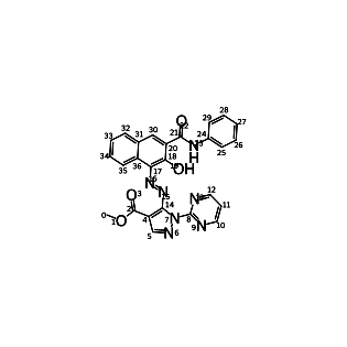 COC(=O)c1cnn(-c2ncccn2)c1/N=N/c1c(O)c(C(=O)Nc2ccccc2)cc2ccccc12